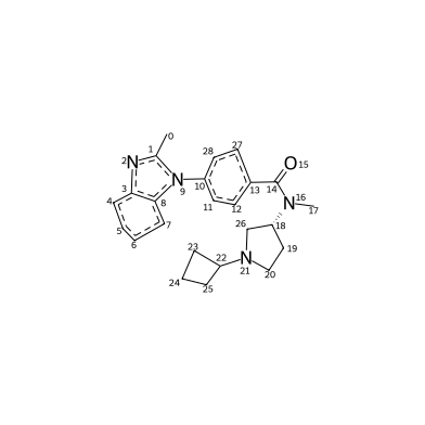 Cc1nc2ccccc2n1-c1ccc(C(=O)N(C)[C@@H]2CCN(C3CCC3)C2)cc1